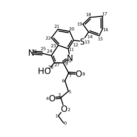 CCOC(=O)CCC(=O)c1nc2c(Sc3ccccc3)cccc2c(C#N)c1O